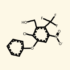 O=[N+]([O-])c1cc(Oc2ccccc2)c(Cl)c(CO)c1C(F)(F)F